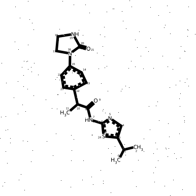 CC(C)c1cnc(NC(=O)C(C)c2ccc(N3CCNC3=O)cc2)s1